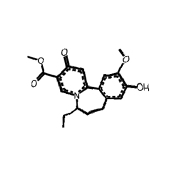 CCC1CCc2cc(O)c(OC)cc2-c2cc(=O)c(C(=O)OC)cn21